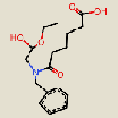 CCOC(O)CN(Cc1ccccc1)C(=O)CCCCC(=O)O